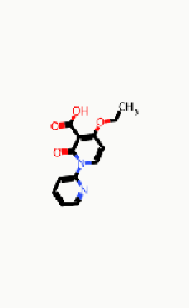 CCOc1ccn(-c2ccccn2)c(=O)c1C(=O)O